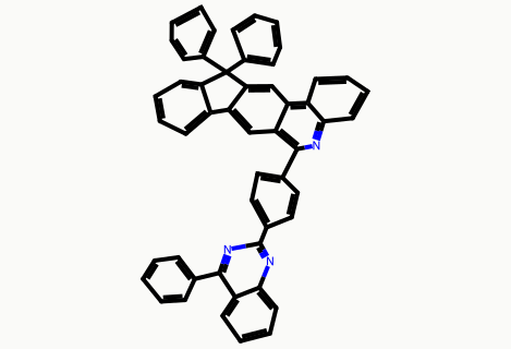 c1ccc(-c2nc(-c3ccc(-c4nc5ccccc5c5cc6c(cc45)-c4ccccc4C6(c4ccccc4)c4ccccc4)cc3)nc3ccccc23)cc1